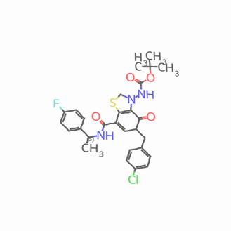 C[C@H](NC(=O)C1=CC(Cc2ccc(Cl)cc2)C(=O)C2=C1SCN2NC(=O)OC(C)(C)C)c1ccc(F)cc1